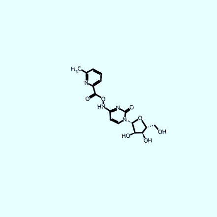 Cc1cccc(C(=O)ONc2ccn([C@@H]3O[C@H](CO)[C@@H](O)[C@H]3O)c(=O)n2)n1